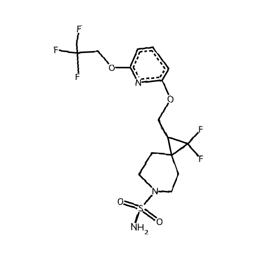 NS(=O)(=O)N1CCC2(CC1)C(COc1cccc(OCC(F)(F)F)n1)C2(F)F